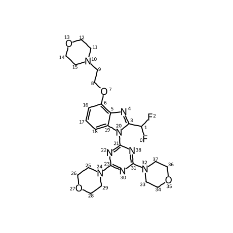 FC(F)c1nc2c(OCCN3CCOCC3)cccc2n1-c1nc(N2CCOCC2)nc(N2CCOCC2)n1